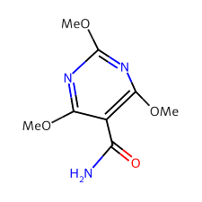 COc1nc(OC)c(C(N)=O)c(OC)n1